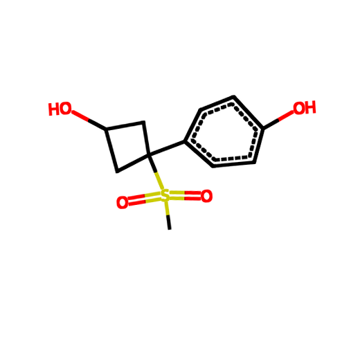 CS(=O)(=O)C1(c2ccc(O)cc2)CC(O)C1